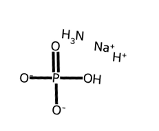 N.O=P([O-])([O-])O.[H+].[Na+]